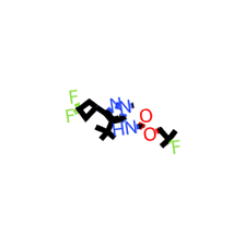 Cn1nc(C2CC(F)(F)C2)c(C(C)(C)C)c1NC(=O)OCC(C)(C)F